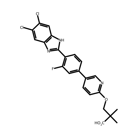 CC(C)(COc1ccc(-c2ccc(-c3nc4cc(Cl)c(Cl)cc4[nH]3)c(F)c2)cn1)C(=O)O